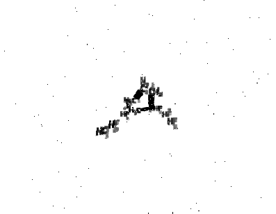 C=C.C=CC.Cl.F.F.F.F.F.F